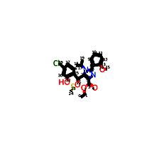 CCOC(=O)c1nc(-c2ccccc2OC)n(C(C)C)c1C(OSC)c1ccc(Cl)cc1O